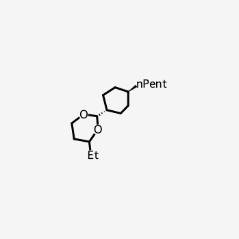 CCCCC[C@H]1CC[C@H](C2OCCC(CC)O2)CC1